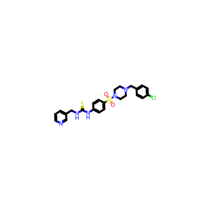 O=S(=O)(c1ccc(NC(=S)NCc2cccnc2)cc1)N1CCN(Cc2ccc(Cl)cc2)CC1